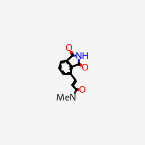 CNC(=O)C=Cc1cccc2c1C(=O)NC2=O